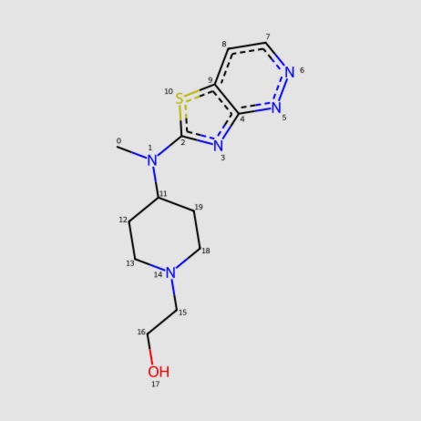 CN(c1nc2nnccc2s1)C1CCN(CCO)CC1